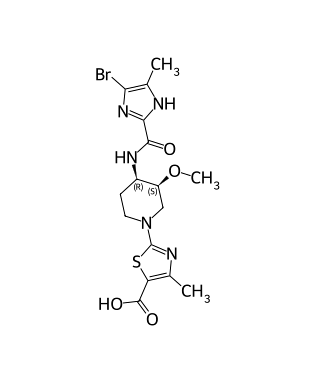 CO[C@H]1CN(c2nc(C)c(C(=O)O)s2)CC[C@H]1NC(=O)c1nc(Br)c(C)[nH]1